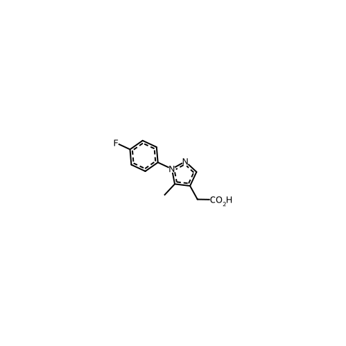 Cc1c(CC(=O)O)cnn1-c1ccc(F)cc1